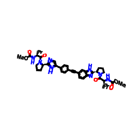 COC(=O)N[C@H](C(=O)N1CCC[C@@H]1c1ncc(-c2ccc(C#Cc3ccc4nc([C@@H]5CCCN5C(=O)[C@@H](NC(=O)OC)C(C)C)[nH]c4c3)cc2)[nH]1)C(C)C